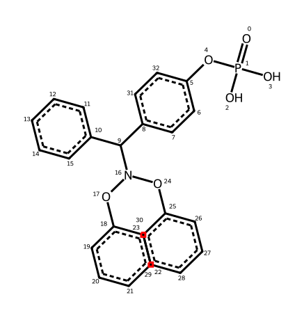 O=P(O)(O)Oc1ccc(C(c2ccccc2)N(Oc2ccccc2)Oc2ccccc2)cc1